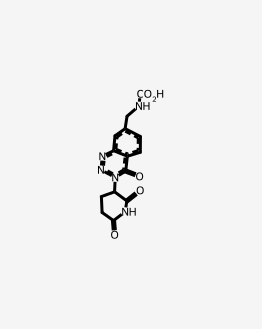 O=C(O)NCc1ccc2c(=O)n(C3CCC(=O)NC3=O)nnc2c1